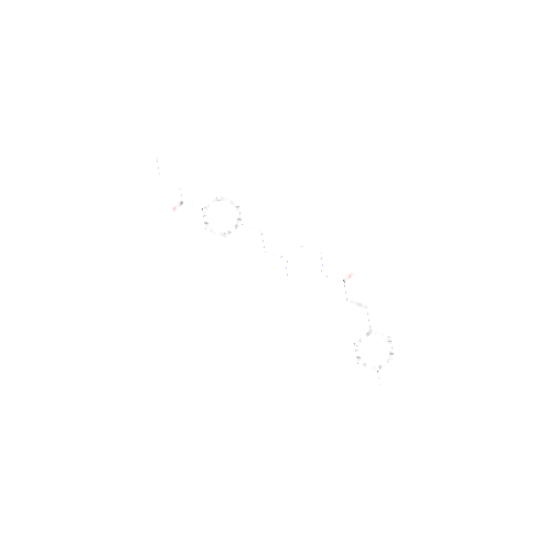 CCOC(=O)c1ccc(CCN2CCN(C(=O)C=Cc3ccc(Cl)cc3)CC2)cc1